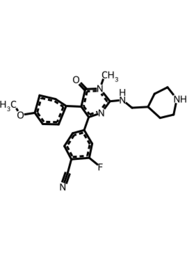 COc1ccc(-c2c(-c3ccc(C#N)c(F)c3)nc(NCC3CCNCC3)n(C)c2=O)cc1